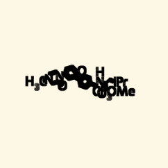 COC(=O)[C@H](CC(C)C)N[C@@H](c1ccc2c(c1)oc1ccc(N3CCN(C)CC3=O)cc12)C(F)(F)F